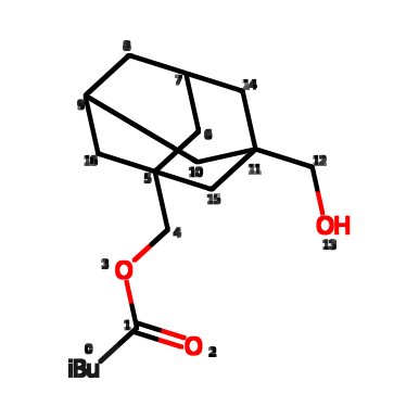 CCC(C)C(=O)OCC12CC3CC(CC(CO)(C3)C1)C2